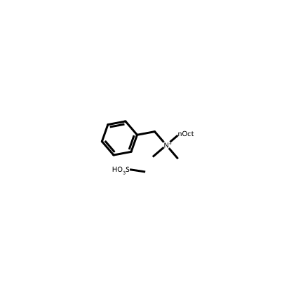 CCCCCCCC[N+](C)(C)Cc1ccccc1.CS(=O)(=O)O